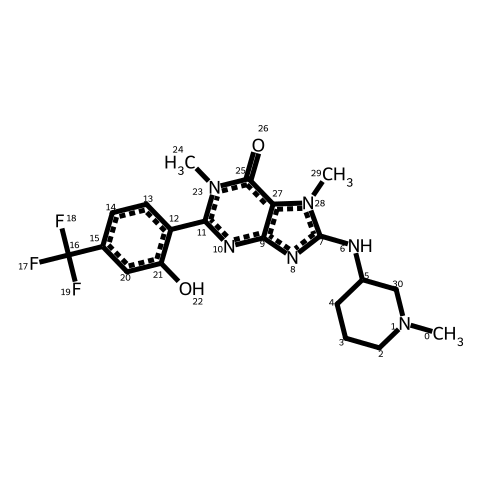 CN1CCCC(Nc2nc3nc(-c4ccc(C(F)(F)F)cc4O)n(C)c(=O)c3n2C)C1